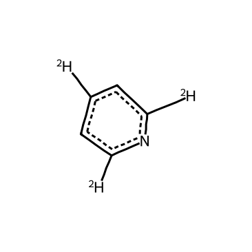 [2H]c1cc([2H])nc([2H])c1